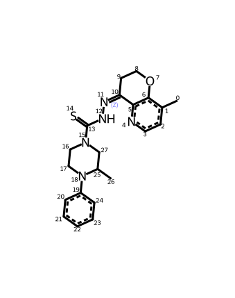 Cc1ccnc2c1OCC/C2=N/NC(=S)N1CCN(c2ccccc2)C(C)C1